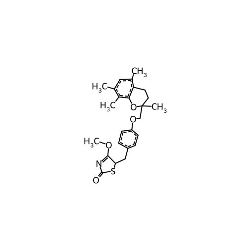 COC1=NC(=O)SC1Cc1ccc(OCC2(C)CCc3c(C)cc(C)c(C)c3O2)cc1